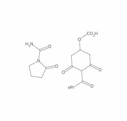 CCCC(=O)C1C(=O)CC(OC(=O)O)CC1=O.NC(=O)N1CCCC1=O